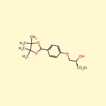 CCOC(=O)[C@H](O)COc1ccc(B2OC(C)(C)C(C)(C)O2)cc1